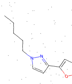 CCCCCn1ccc(-c2ccco2)n1